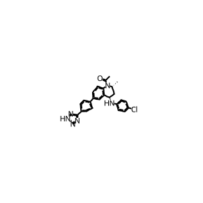 CC(=O)N1c2ccc(-c3ccc(-c4nn[nH]n4)cc3)cc2[C@@H](Nc2ccc(Cl)cc2)C[C@H]1C